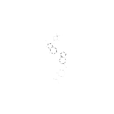 Cc1nc2ncc(-c3ccn4nc(N[C@H]5CC[C@@H](N(C)C)CC5)ncc34)cc2n1C1CC(F)(F)C1